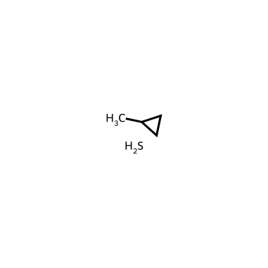 CC1CC1.S